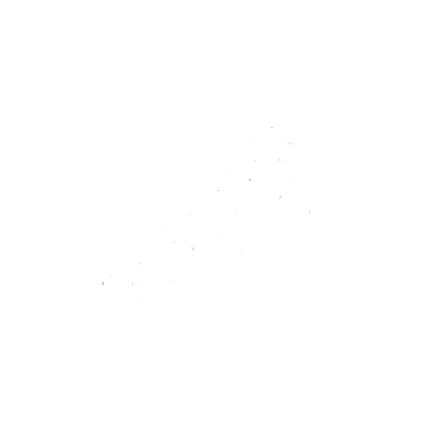 C/C=N\C(=C/C)c1cc(Oc2ccc(NC(=O)/C(=C/N(C)C(C)C)C(C)=O)c(C(F)(F)F)c2)c2ccnn2c1